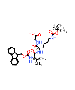 CC(C)[C@H](NC(=O)OCC1c2ccccc2-c2ccccc21)C(=O)N[C@@H](CCCCNC(=O)OC(C)(C)C)C(=O)NCC(=O)O